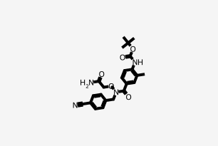 Cc1cc(C(=O)N(Cc2ccc(C#N)cc2)OCC(N)=O)ccc1NC(=O)OC(C)(C)C